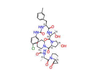 Cc1cccc(C[C@H](NC(=O)Nc2ccc(Cl)cc2)C(=O)N[C@H](C(=O)N2C[C@H](O)C[C@H]2C(=O)N2CCCC[C@H]2C(=O)N[C@@H](C)C(=O)N2CCC[C@@]23CC3=O)[C@H](C)O)c1